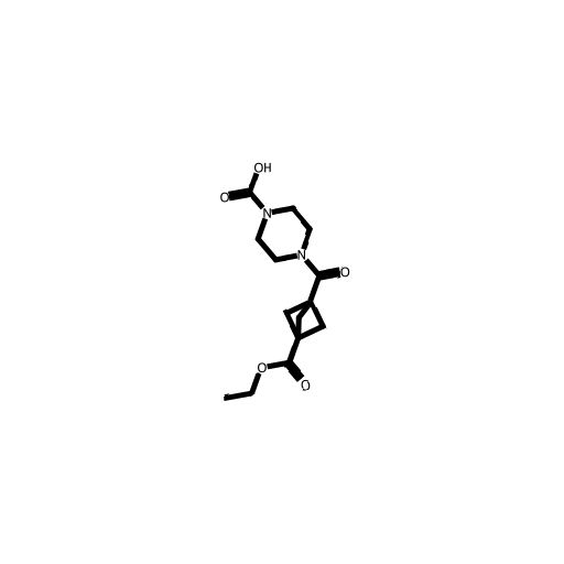 CCOC(=O)C12CC(C(=O)N3CCN(C(=O)O)CC3)(C1)C2